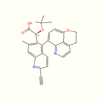 C#Cc1ccc2c(-c3ccc4c5c(ccnc35)CCO4)c([C@H](OC(C)(C)C)C(=O)O)c(C)cc2n1